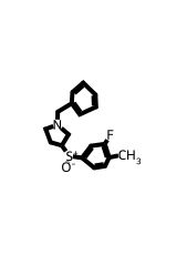 Cc1ccc([S+]([O-])C2CCN(Cc3ccccc3)C2)cc1F